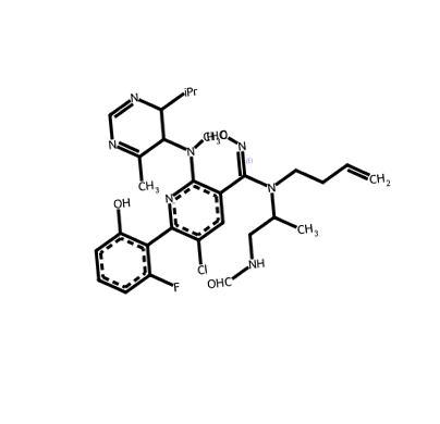 C=CCCN(/C(=N/C)c1cc(Cl)c(-c2c(O)cccc2F)nc1N(C=O)C1C(C)=NC=NC1C(C)C)C(C)CNC=O